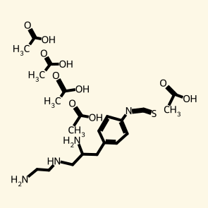 CC(=O)O.CC(=O)O.CC(=O)O.CC(=O)O.CC(=O)O.NCCNCC(N)Cc1ccc(N=C=S)cc1